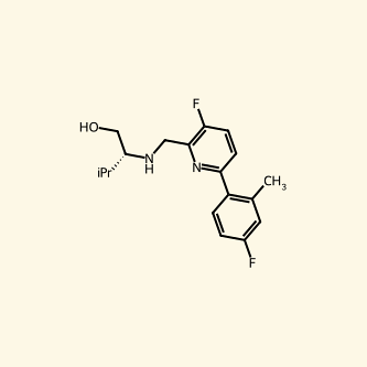 Cc1cc(F)ccc1-c1ccc(F)c(CN[C@@H](CO)C(C)C)n1